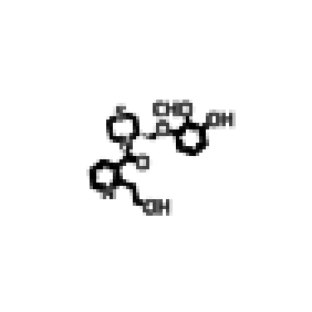 O=Cc1c(O)cccc1OC[C@H]1CSCCN1C(=O)c1cccnc1CCO